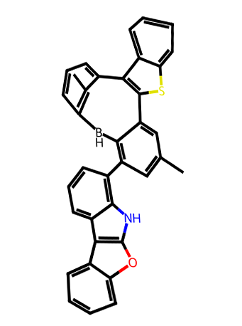 Cc1cc2c(c(-c3cccc4c3[nH]c3oc5ccccc5c34)c1)Bc1cccc(c1C)-c1c-2sc2ccccc12